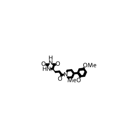 COc1ccc(OC)c(C2CCN(C(=O)CC[C@H]3NC(=O)NC3=O)CC2)c1